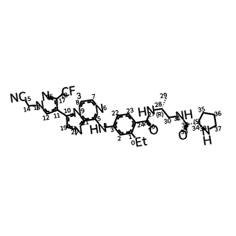 CCc1cc(Nc2nccn3c(-c4cn(CC#N)nc4C(F)(F)F)cnc23)ccc1C(=O)N[C@H](C)CNC(=O)[C@@H]1CCCN1